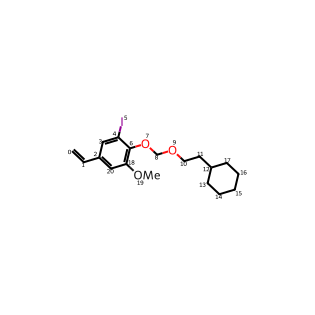 C=Cc1cc(I)c(OCOCCC2CCCCC2)c(OC)c1